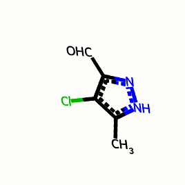 Cc1[nH]nc(C=O)c1Cl